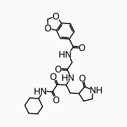 O=C(CNC(=O)c1ccc2c(c1)OCO2)NC(CC1CCNC1=O)C(=O)C(=O)NC1CCCCC1